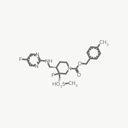 CS(=O)(=O)O.Cc1ccc(COC(=O)N2CC[C@H](CNc3ncc(F)cn3)C(F)(F)C2)cc1